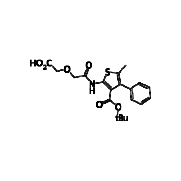 Cc1sc(NC(=O)COCC(=O)O)c(C(=O)OC(C)(C)C)c1-c1ccccc1